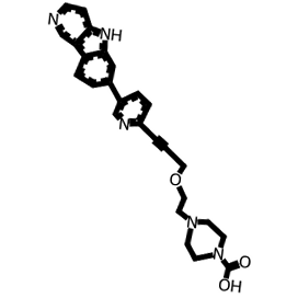 O=C(O)N1CCN(CCOCC#Cc2ccc(-c3ccc4c(c3)[nH]c3ccncc34)cn2)CC1